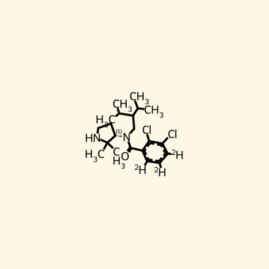 [2H]c1c([2H])c(Cl)c(Cl)c(C(=O)N(CC(C(C)C)C(C)C)[C@H]2CCNC2(C)C)c1[2H]